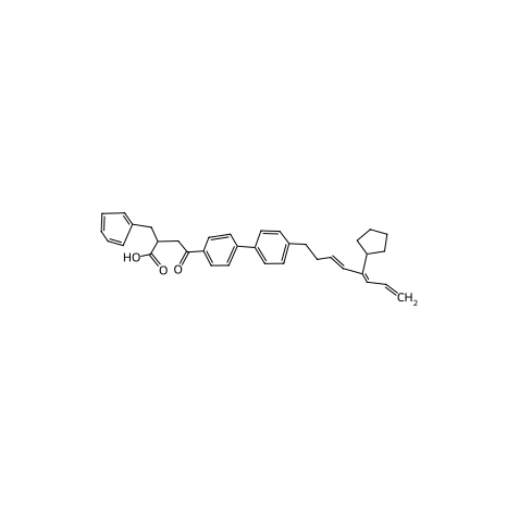 C=C/C=C(/C=C/CCc1ccc(-c2ccc(C(=O)CC(Cc3ccccc3)C(=O)O)cc2)cc1)C1CCCC1